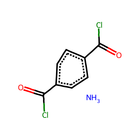 N.O=C(Cl)c1ccc(C(=O)Cl)cc1